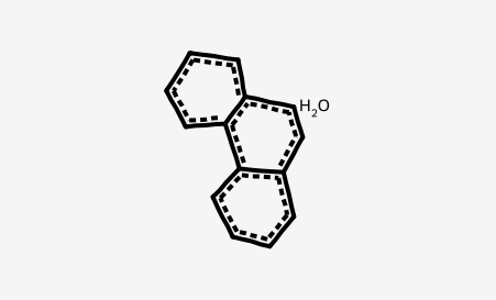 O.c1ccc2c(c1)ccc1ccccc12